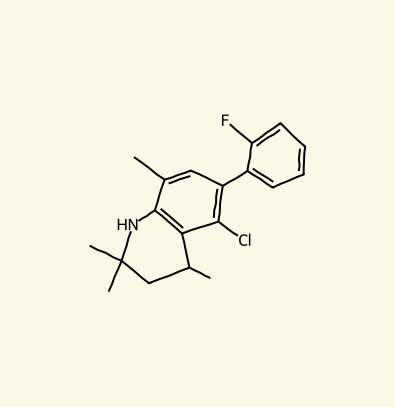 Cc1cc(-c2ccccc2F)c(Cl)c2c1NC(C)(C)CC2C